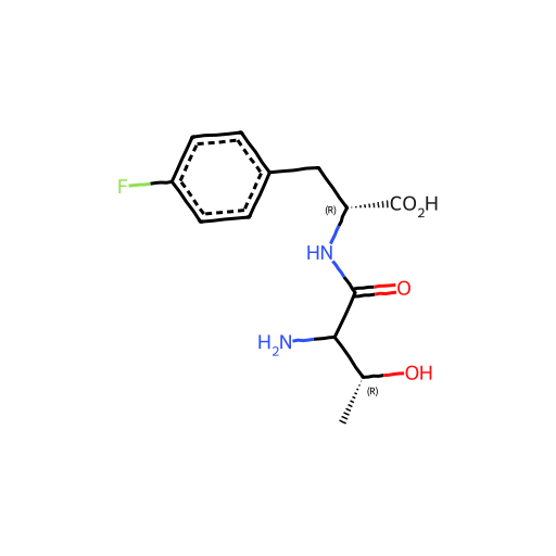 C[C@@H](O)C(N)C(=O)N[C@H](Cc1ccc(F)cc1)C(=O)O